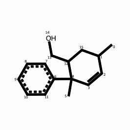 CC1C=CC(C)(c2ccccc2)C(CO)C1